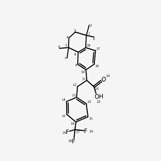 CC1(C)CCC(C)(C)c2cc(C(Cc3ccc(C(F)(F)F)cc3)C(=O)O)ccc21